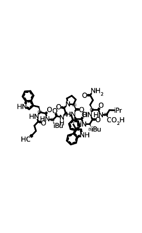 C#CCCC(=O)N[C@@H](Cc1c[nH]c2ccccc12)C(=O)N[C@H](C(=O)N[C@@H](Cc1ccccc1)C(=O)N1CCC[C@H]1C(=O)N[C@@H](Cc1c[nH]c2ccccc12)C(=O)NC(C(=O)N[C@@H](CCC(N)=O)C(=O)N[C@@H](CC(C)C)C(=O)O)[C@@H](C)CC)C(C)CC